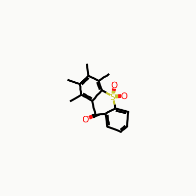 Cc1c(C)c(C)c2c(c1C)C(=O)c1ccccc1S2(=O)=O